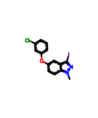 Cn1nc(I)c2cc(Oc3cccc(Cl)c3)ccc21